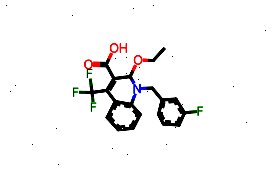 CCOC1C(C(=O)O)=C(C(F)(F)F)c2ccccc2N1Cc1cccc(F)c1